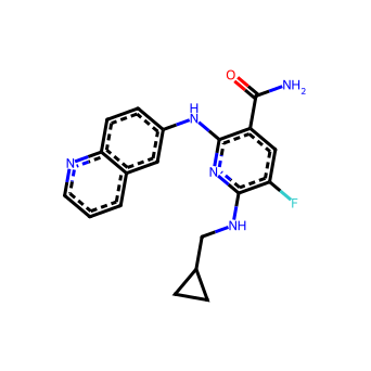 NC(=O)c1cc(F)c(NCC2CC2)nc1Nc1ccc2ncccc2c1